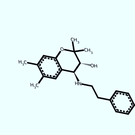 Cc1cc2c(cc1C)[C@H](NCCc1ccccc1)[C@@H](O)C(C)(C)O2